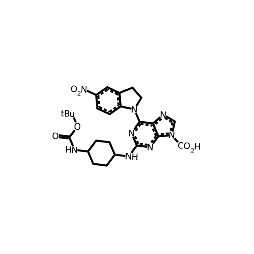 CC(C)(C)OC(=O)NC1CCC(Nc2nc(N3CCc4cc([N+](=O)[O-])ccc43)c3ncn(C(=O)O)c3n2)CC1